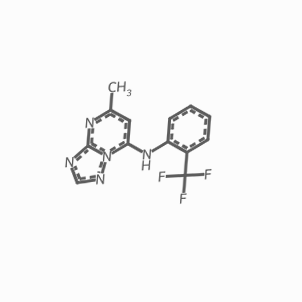 Cc1cc(Nc2ccccc2C(F)(F)F)n2ncnc2n1